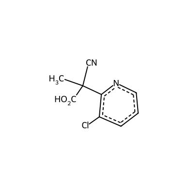 CC(C#N)(C(=O)O)c1ncccc1Cl